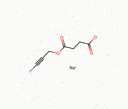 O=C([O-])CCC(=O)OCC#CI.[Na+]